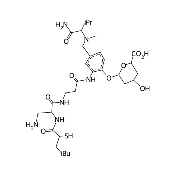 CCC(C)CC(S)C(=O)NC(CN)C(=O)NCCC(=O)Nc1cc(CN(C)C(C(N)=O)C(C)C)ccc1OC1CC(O)CC(C(=O)O)O1